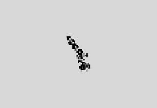 COc1cc(N2CCC(N3CCN(C(C)(C)C)CC3)CC2)ccc1Nc1ncnc(Nc2ccccc2S(=O)(=O)C(C)C)n1